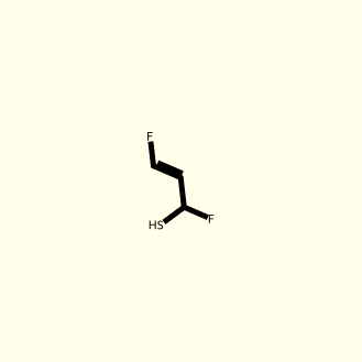 FC=CC(F)S